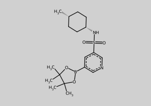 CC1(C)OB(c2cncc(S(=O)(=O)N[C@H]3CC[C@@H](C)CC3)c2)OC1(C)C